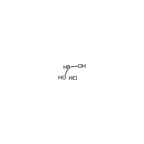 Cl.OBO